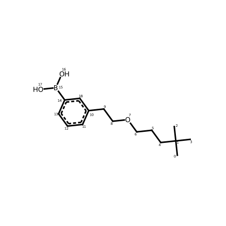 CC(C)(C)CCCOCCc1cccc(B(O)O)c1